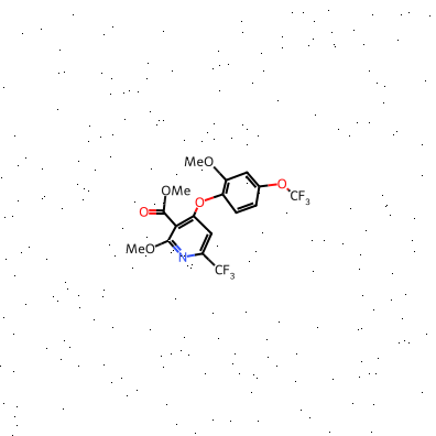 COC(=O)c1c(Oc2ccc(OC(F)(F)F)cc2OC)cc(C(F)(F)F)nc1OC